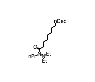 CCCCCCCCCCCCCCCCCC(=O)N(CCC)N(CC)CC